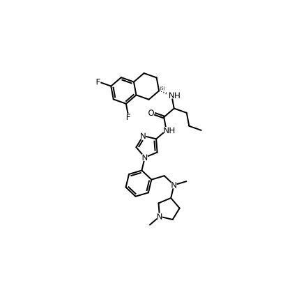 CCCC(N[C@H]1CCc2cc(F)cc(F)c2C1)C(=O)Nc1cn(-c2ccccc2CN(C)C2CCN(C)C2)cn1